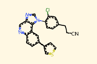 N#CCCc1ccc(-n2cnc3cnc4ccc(-c5ccsc5)cc4c32)c(Cl)c1